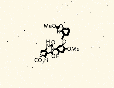 COc1nc2c(COc3cc(-n4c(=O)[nH]c5csc(C(=O)O)c5c4=O)c(F)cc3OC)cccc2o1